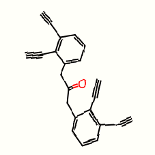 C#Cc1cccc(CC(=O)Cc2cccc(C#C)c2C#C)c1C#C